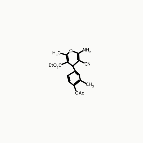 CCOC(=O)C1=C(C)OC(N)=C(C#N)C1c1ccc(OC(C)=O)c(C)c1